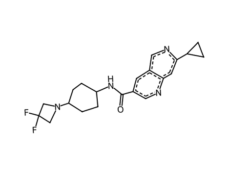 O=C(NC1CCC(N2CC(F)(F)C2)CC1)c1cnc2cc(C3CC3)ncc2c1